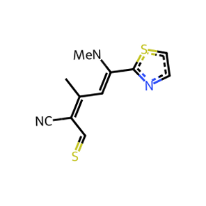 CN/C(=C\C(C)=C(\C#N)C=S)c1nccs1